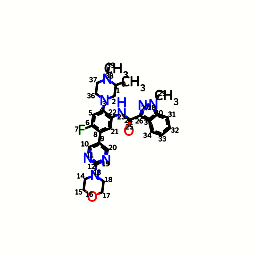 CC1CN(c2cc(F)c(-c3cnc(N4CCOCC4)nc3)cc2NC(=O)c2nn(C)c3ccccc23)CCN1C